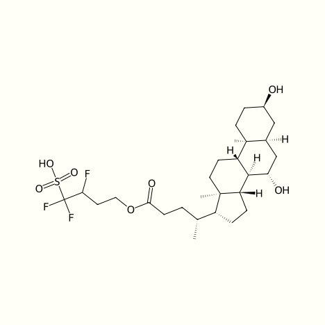 C[C@H](CCC(=O)OCCC(F)C(F)(F)S(=O)(=O)O)[C@H]1CC[C@H]2[C@@H]3[C@@H](O)C[C@@H]4C[C@H](O)CC[C@]4(C)[C@H]3CC[C@]12C